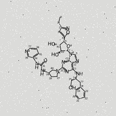 CCc1cc([C@H]2O[C@@H](n3cnc4c(N[C@H](CO)Cc5ccccc5)nc(N5CC[C@@H](NC(=O)Nc6cccnc6)C5)nc43)[C@@H](O)[C@@H]2O)on1